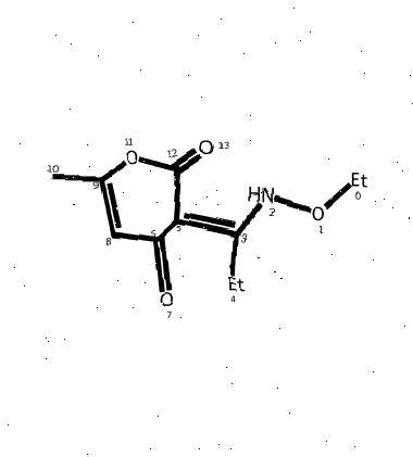 CCONC(CC)=C1C(=O)C=C(C)OC1=O